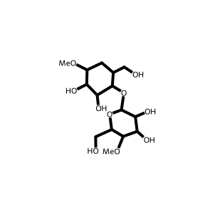 COC1CC(CO)C(OC2OC(CO)C(OC)C(O)C2O)C(O)C1O